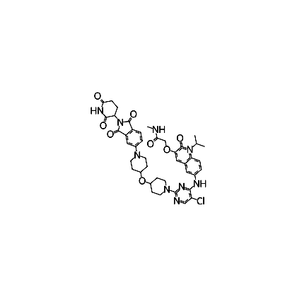 CNC(=O)COc1cc2cc(Nc3nc(N4CCC(OC5CCN(c6ccc7c(c6)C(=O)N(C6CCC(=O)NC6=O)C7=O)CC5)CC4)ncc3Cl)ccc2n(C(C)C)c1=O